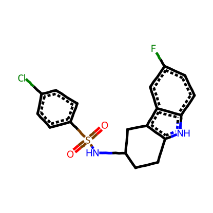 O=S(=O)(NC1CCc2[nH]c3ccc(F)cc3c2C1)c1ccc(Cl)cc1